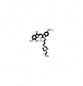 COc1ccc2c(c1)c(C=C1Oc3c(ccc(O)c3O)C1=O)c(C)n2CCCCN1CCN(CCO)CC1